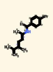 C=C(C)/C(C)=C/C=C(\C)NC(CC)c1ccc(C(C)C)cc1